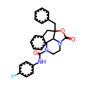 O=C(Nc1ccc(F)cc1)N1CCN2C(=O)OC(Cc3ccccc3)(Cc3ccccc3)C2C1